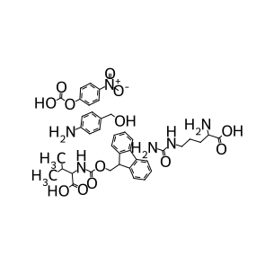 CC(C)C(NC(=O)OCC1c2ccccc2-c2ccccc21)C(=O)O.NC(=O)NCCCC(N)C(=O)O.Nc1ccc(CO)cc1.O=C(O)Oc1ccc([N+](=O)[O-])cc1